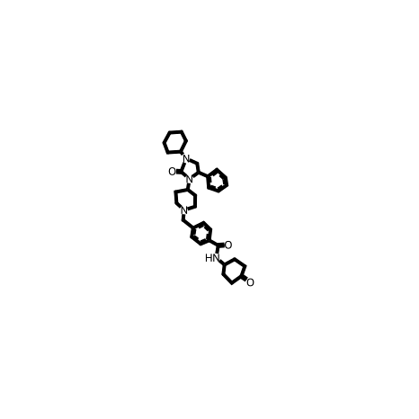 O=C1CCC(NC(=O)c2ccc(CN3CCC(N4C(=O)N(C5CCCCC5)CC4c4ccccc4)CC3)cc2)CC1